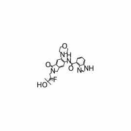 CC(C)(O)[C@H](F)CN1Cc2cc(NC(=O)c3cccc4[nH]cnc34)c(N3CCOCC3)cc2C1=O